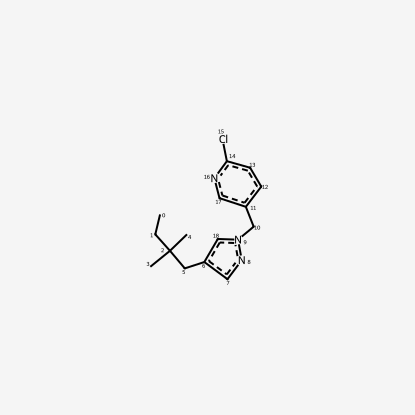 CCC(C)(C)Cc1cnn(Cc2ccc(Cl)nc2)c1